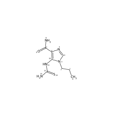 CCCn1cnc(C(N)=O)c1NC(N)=S